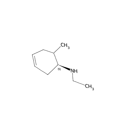 CCN[C@H]1CC=CCC1C